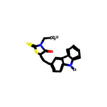 CCn1c2ccccc2c2cc(CC3SC(=S)N(CC(=O)O)C3=O)ccc21